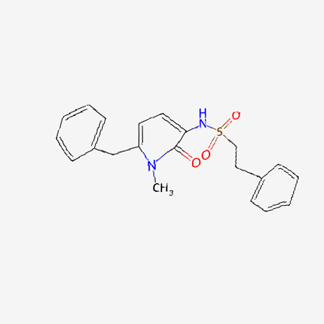 Cn1c(Cc2ccccc2)ccc(NS(=O)(=O)CCc2ccccc2)c1=O